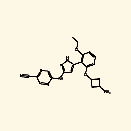 CCOc1cccc(OC2CC(N)C2)c1-c1cc(Nc2cnc(C#N)cn2)n[nH]1